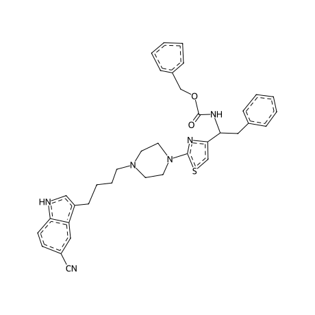 N#Cc1ccc2[nH]cc(CCCCN3CCN(c4nc(C(Cc5ccccc5)NC(=O)OCc5ccccc5)cs4)CC3)c2c1